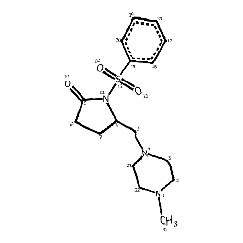 CN1CCN(CC2CCC(=O)N2S(=O)(=O)c2ccccc2)CC1